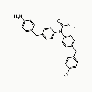 NC(=O)N(c1ccc(Cc2ccc(N)cc2)cc1)c1ccc(Cc2ccc(N)cc2)cc1